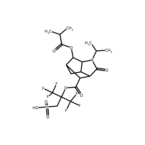 CC(C)C(=O)OC1C2CC3C(C(=O)N(C(C)C)C31)C2C(=O)OC(CS(=O)(=O)O)(C(F)(F)F)C(F)(F)F